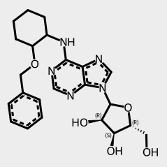 OC[C@H]1OC(n2cnc3c(NC4CCCCC4OCc4ccccc4)ncnc32)[C@H](O)[C@@H]1O